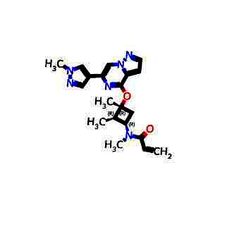 C=CC(=O)N(C)[C@@H]1C[C@@](C)(Oc2nc(-c3cnn(C)c3)cn3nccc23)[C@@H]1C